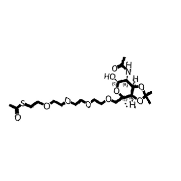 CC(=O)N[C@@H]1[C@H]2OC(C)(C)O[C@H]2[C@@](C)(COCCOCCOCCOCCSC(C)=O)O[C@@H]1O